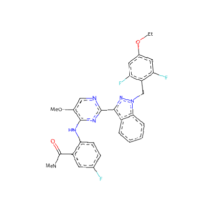 CCOc1cc(F)c(Cn2nc(-c3ncc(OC)c(Nc4ccc(F)cc4C(=O)NC)n3)c3ccccc32)c(F)c1